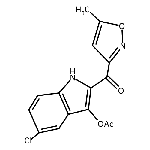 CC(=O)Oc1c(C(=O)c2cc(C)on2)[nH]c2ccc(Cl)cc12